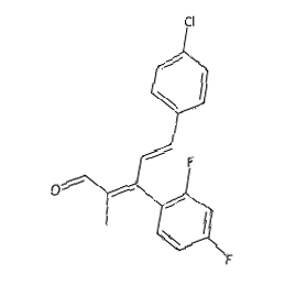 CC(C=O)=C(C=Cc1ccc(Cl)cc1)c1ccc(F)cc1F